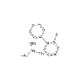 CCC[CH2][Sn+]([CH2]CCC)[CH2]CCC.[O-]c1ccccc1-c1ccccc1